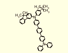 CC1(C)c2ccccc2-c2cc(N(c3ccc(-c4ccc(-c5ccc(N(c6ccccc6)c6ccccc6)cc5)cc4)cc3)c3ccc([Si](C)(C)C)cc3)ccc21